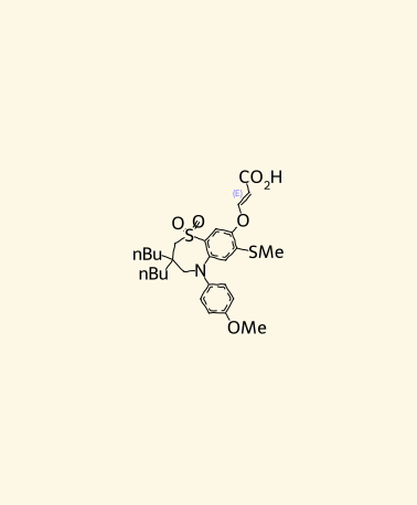 CCCCC1(CCCC)CN(c2ccc(OC)cc2)c2cc(SC)c(O/C=C/C(=O)O)cc2S(=O)(=O)C1